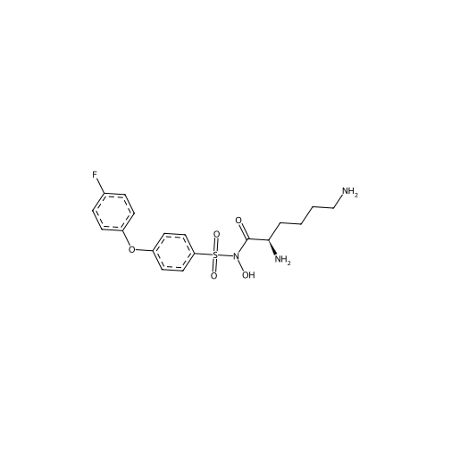 NCCCC[C@@H](N)C(=O)N(O)S(=O)(=O)c1ccc(Oc2ccc(F)cc2)cc1